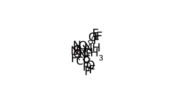 C[C@](C(=O)NC1CC(OC(F)(F)F)C1)(c1cncnc1)N(C(=O)[C@H](F)Cl)c1ccc(OC(F)(F)F)cc1F